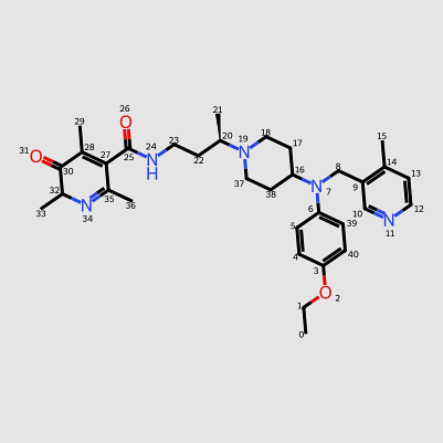 CCOc1ccc(N(Cc2cnccc2C)C2CCN([C@H](C)CCNC(=O)C3=C(C)C(=O)C(C)N=C3C)CC2)cc1